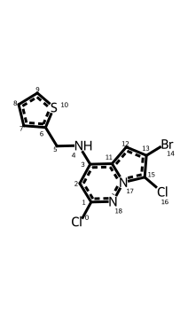 Clc1cc(NCc2cccs2)c2cc(Br)c(Cl)n2n1